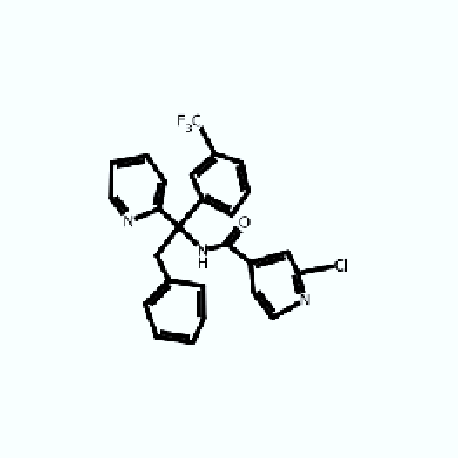 O=C(NC(Cc1ccccc1)(c1cccc(C(F)(F)F)c1)c1ccccn1)c1ccnc(Cl)c1